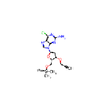 C#CCOC1C[C@H](n2cnc3c(Cl)nc(N)nc32)O[C@@H]1CO[Si](C)(C)C(C)(C)C